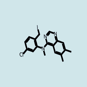 Cc1cc2ncnc(N(C)c3cc(Cl)ccc3CI)c2cc1C